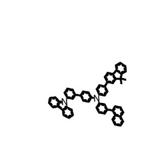 CC1(C)c2ccccc2-c2ccc(-c3ccc(N(c4ccc(-c5cccc(-n6c7ccccc7c7ccccc76)c5)cc4)c4cccc(-c5cccc6ccccc56)c4)cc3)cc21